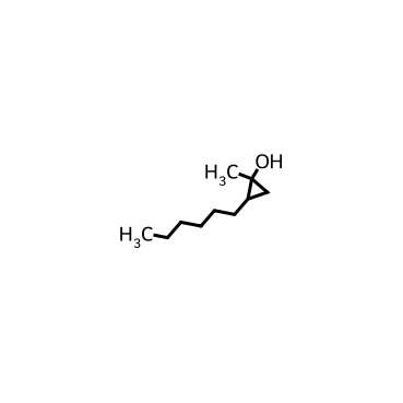 CCCCCCC1CC1(C)O